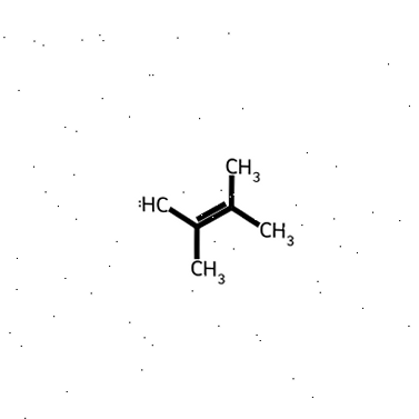 [CH]C(C)=C(C)C